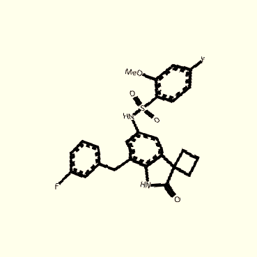 COc1cc(F)ccc1S(=O)(=O)Nc1cc(Cc2cccc(F)c2)c2c(c1)C1(CCC1)C(=O)N2